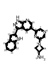 NC1CN(c2cncc(-c3cnc4[nH]nc(-c5cc6ccccc6[nH]5)c4c3)n2)C1